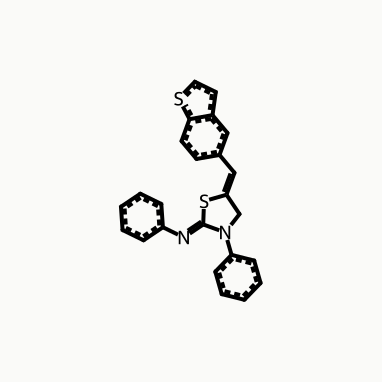 C(=C1\CN(c2ccccc2)/C(=N/c2ccccc2)S1)/c1ccc2sccc2c1